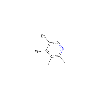 CCc1cnc(C)c(C)c1CC